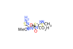 CON=C(C(=O)NC1C(=O)N2C(C(=O)O)=C(c3nnc(C)s3)CS[C@@H]12)c1csc(N)n1